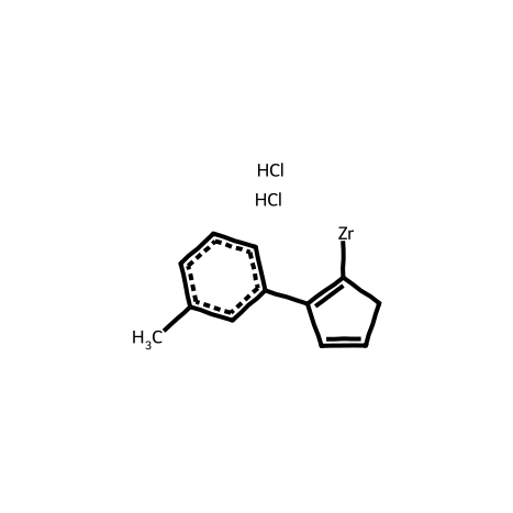 Cc1cccc(C2=[C]([Zr])CC=C2)c1.Cl.Cl